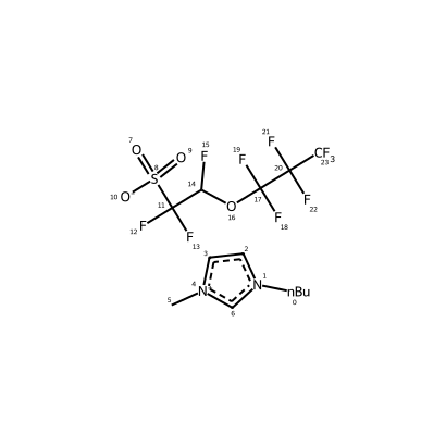 CCCCn1cc[n+](C)c1.O=S(=O)([O-])C(F)(F)C(F)OC(F)(F)C(F)(F)C(F)(F)F